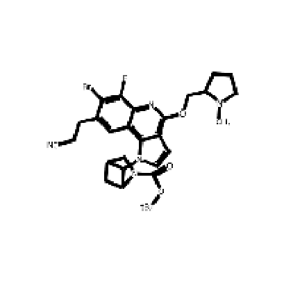 CN1CCCC1COc1nc2c(F)c(Br)c(CCC#N)cc2c2c1ccn2C1C2CC1N(C(=O)OC(C)(C)C)C2